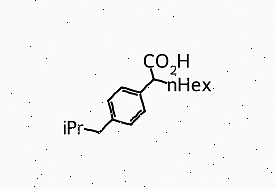 CCCCCCC(C(=O)O)c1ccc(CC(C)C)cc1